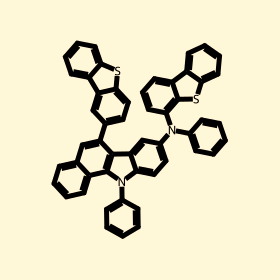 c1ccc(N(c2ccc3c(c2)c2c(-c4ccc5sc6ccccc6c5c4)cc4ccccc4c2n3-c2ccccc2)c2cccc3c2sc2ccccc23)cc1